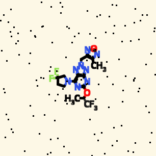 Cc1nonc1Cn1nc2nc(O[C@@H](C)C(F)(F)F)nc(N3CCC(F)(F)C3)c2n1